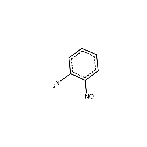 Nc1ccccc1N=O